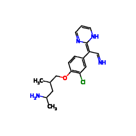 CC(N)CC(C)COc1ccc(/C(C=N)=C2\N=CC=CN2)cc1Cl